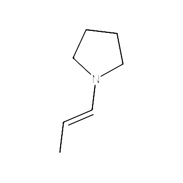 CC=CN1CCCC1